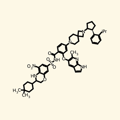 Cc1nc2[nH]ccc2cc1Oc1cc(N2CCC3(CC2)CN(C2CCC[C@H]2c2ccccc2C(C)C)C3)ccc1C(=O)NS(=O)(=O)c1cc2c(c([N+](=O)[O-])c1)NC(C1CCC(C)(C)CC1)CO2